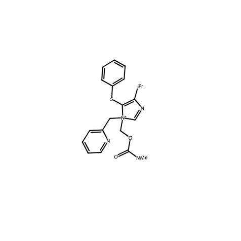 CNC(=O)OC[N+]1(Cc2ccccn2)C=NC(C(C)C)=C1Sc1ccccc1